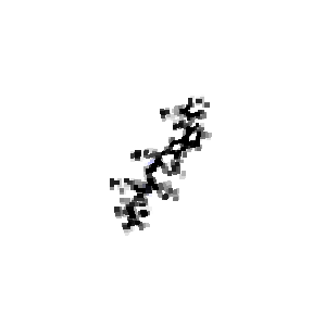 CC(/C=C(\N)C(C)N1Cc2c(ccnc2NC(=O)C(C)C)C1=O)=C(/N)OCC(F)(F)C(F)F